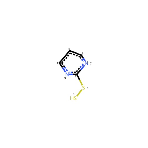 SSc1ncccn1